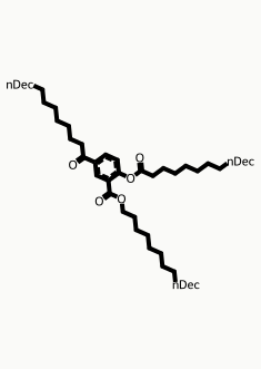 CCCCCCCCCCCCCCCCCCOC(=O)c1cc(C(=O)CCCCCCCCCCCCCCCCC)ccc1OC(=O)CCCCCCCCCCCCCCCCC